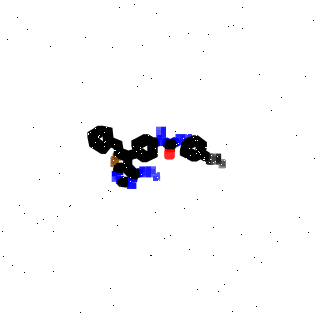 Cc1ccc(NC(=O)Nc2ccc(-c3c(Cc4ccccc4)sc4ncnc(N)c34)cc2)cc1